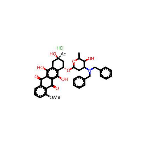 COc1cccc2c1C(=O)c1c(O)c3c(c(O)c1C2=O)C[C@@](O)(C(C)=O)C[C@@H]3OC1CC(N(Cc2ccccc2)Cc2ccccc2)C(O)C(C)O1.Cl